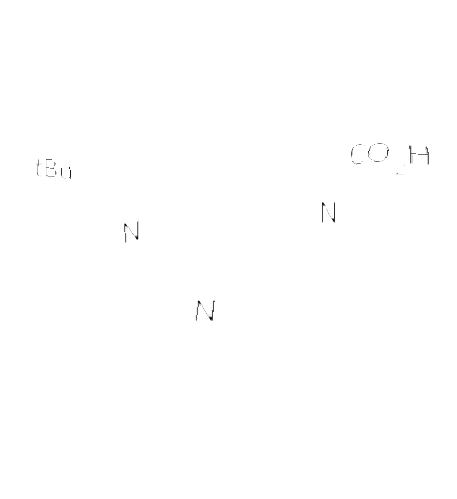 CC(C)(C)N1C=CN2CCN(C(=O)O)CC21